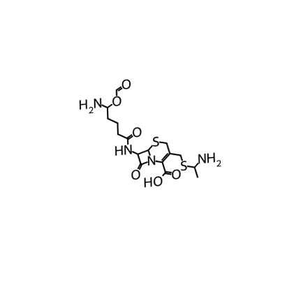 CC(N)SCC1=C(C(=O)O)N2C(=O)C(NC(=O)CCCC(N)OC=O)C2SC1